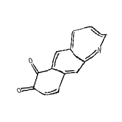 O=C1C=Cc2cc3ncccc3cc2C1=O